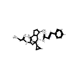 C[C@@H]1CCC2C1[C@H](OC(=O)/C=C/c1ccccc1)C1(C3CC3)CC(OC(=O)CO)C2(C)O1